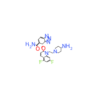 NC(=O)C1=CC=C2N=NN=C2C1.NC1CCN(CCn2c(=O)ccc3c(F)cc(F)cc32)CC1